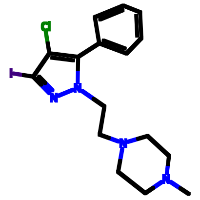 CN1CCN(CCn2nc(I)c(Cl)c2-c2ccccc2)CC1